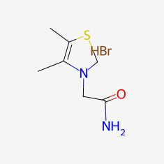 Br.CC1=C(C)N(CC(N)=O)CS1